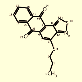 CCCSc1cc2c(c3nsnc13)C(=O)c1ccccc1C2=O